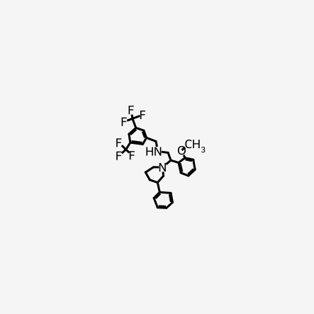 COc1ccccc1C(CNCc1cc(C(F)(F)F)cc(C(F)(F)F)c1)N1CCCC(c2ccccc2)C1